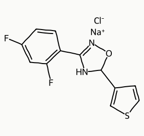 Fc1ccc(C2=NOC(c3ccsc3)N2)c(F)c1.[Cl-].[Na+]